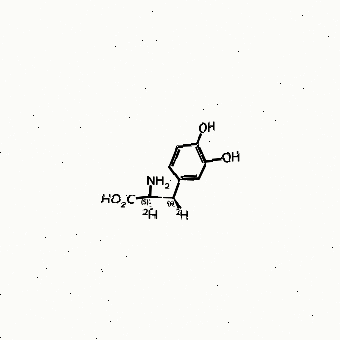 [2H][C@H](c1ccc(O)c(O)c1)[C@]([2H])(N)C(=O)O